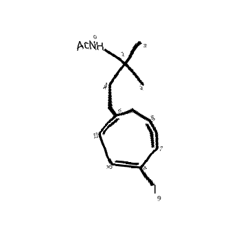 CC(=O)NC(C)(C)Cc1ccc(I)cc1